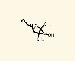 CC(C)CCCC1(C)N(O)C1(C)C